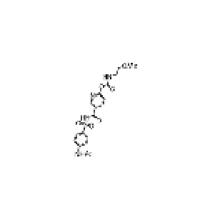 COCCNC(=O)Oc1ccc(C(=O)NS(=O)(=O)c2ccc(NC(C)=O)cc2)cn1